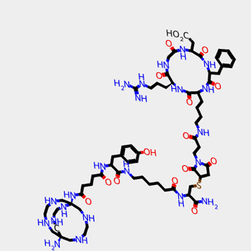 N=C(N)NCCC[C@@H]1NC(=O)C(CCCCNC(=O)CCN2C(=O)CC(SCC(NC(=O)CCCCCNC(=O)C(Cc3ccc(O)cc3)NC(=O)CCCC(=O)N[C@]34CNCCNC[C@](N)(CNCCNC3)CNCCN4)C(N)=O)C2=O)NC(=O)C(Cc2ccccc2)NC(=O)C(CC(=O)O)NC(=O)CNC1=O